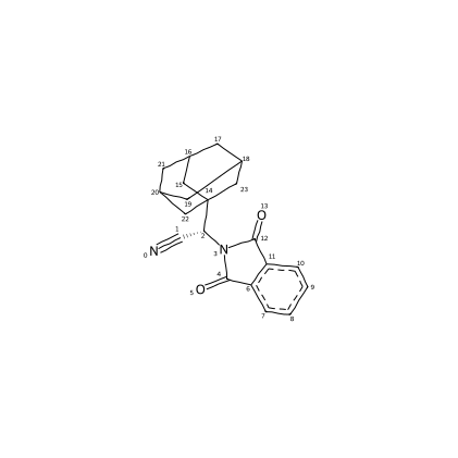 N#C[C@@H](N1C(=O)c2ccccc2C1=O)C12CC3CC(CC(C3)C1)C2